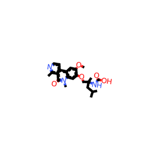 COc1cc2c3ccnc(C)c3c(=O)n(C)c2cc1OCC(C)(CC(C)C)NC(=O)O